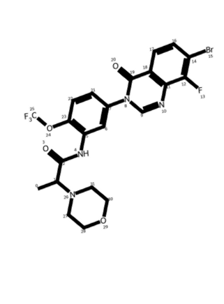 CC(C(=O)Nc1cc(-n2cnc3c(F)c(Br)ccc3c2=O)ccc1OC(F)(F)F)N1CCOCC1